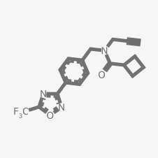 C#CCN(Cc1ccc(-c2noc(C(F)(F)F)n2)cc1)C(=O)C1CCC1